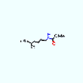 CCCCC(CC)CCCCNC(=O)OC